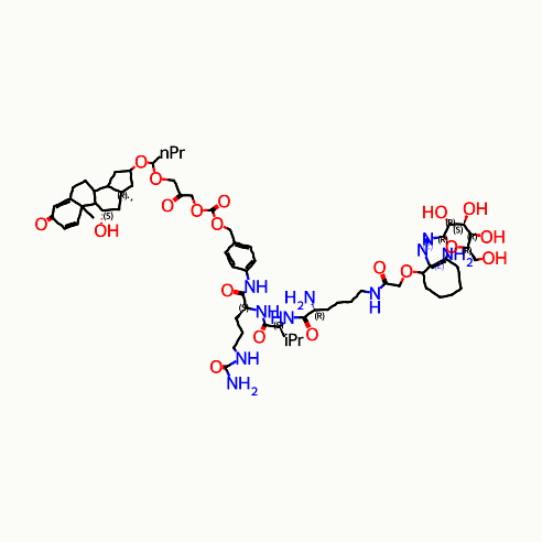 CCCC(OCC(=O)COC(=O)OCc1ccc(NC(=O)[C@H](CCCNC(N)=O)NC(=O)[C@@H](NC(=O)[C@H](N)CCCCNC(=O)COC2CCCCC/C(N)=C2/N=N\[C@@H]2O[C@H](CO)[C@H](O)[C@H](O)[C@H]2O)C(C)C)cc1)OC1CC2C3CCC4=CC(=O)C=CC4(C)C3[C@@H](O)C[C@]2(C)C1